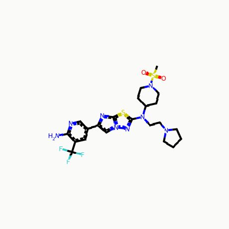 CS(=O)(=O)N1CCC(N(CCN2CCCC2)c2nn3cc(-c4cnc(N)c(C(F)(F)F)c4)nc3s2)CC1